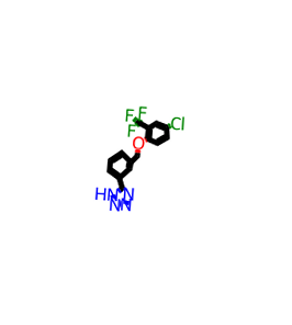 FC(F)(F)c1cc(Cl)ccc1OCc1cccc(-c2nnn[nH]2)c1